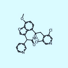 COc1ccc(C(=O)Cc2c(Cl)cncc2Cl)c2c(C(C(N)=O)c3cccnc3)coc12